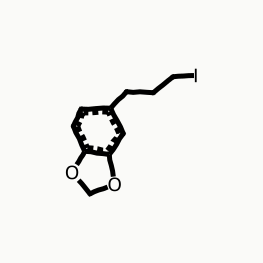 ICCCc1ccc2c(c1)OCO2